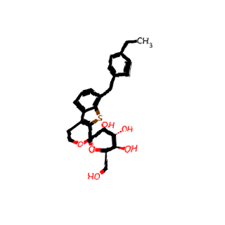 CCc1ccc(Cc2cccc3c4c(sc23)C2(OCC4)O[C@H](CO)[C@H](O)[C@@H](O)[C@H]2O)cc1